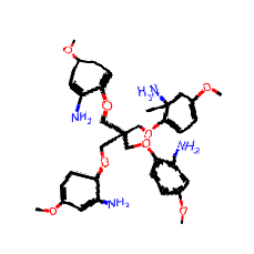 COC1=CCC(OCC(COC2=CCC(OC)C=C2N)(COC2=CC=C(OC)CC2(C)N)COc2ccc(OC)cc2N)C(N)=C1